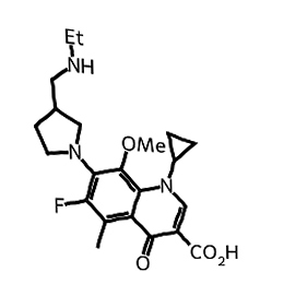 CCNCC1CCN(c2c(F)c(C)c3c(=O)c(C(=O)O)cn(C4CC4)c3c2OC)C1